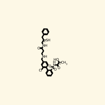 C[C@H](O)C(=O)NS(=O)(=O)c1ccccc1-c1ccc(CNCCC(=O)NC[C@H](S)Cc2ccccc2)cc1Cl